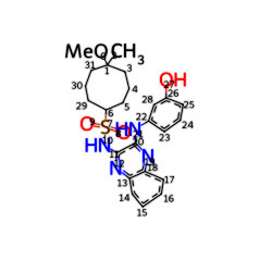 COC1(C)CCCC(S(=O)(=O)Nc2nc3ccccc3nc2Nc2cccc(O)c2)CCC1